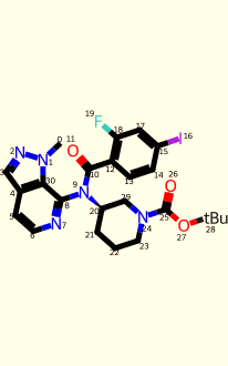 Cn1ncc2ccnc(N(C(=O)c3ccc(I)cc3F)[C@@H]3CCCN(C(=O)OC(C)(C)C)C3)c21